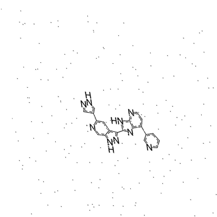 c1cncc(-c2ccnc3[nH]c(-c4n[nH]c5cnc(-c6cn[nH]c6)cc45)nc23)c1